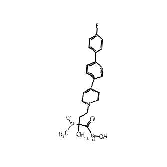 C[S+]([O-])C(C)(CCN1CC=C(c2ccc(-c3ccc(F)cc3)cc2)CC1)C(=O)NO